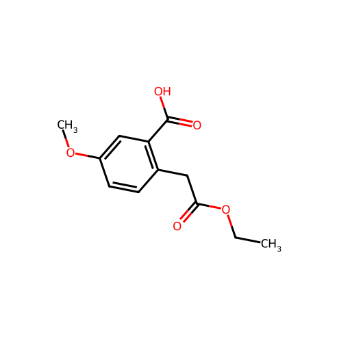 CCOC(=O)Cc1ccc(OC)cc1C(=O)O